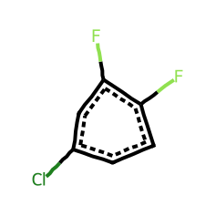 Fc1ccc(Cl)cc1F